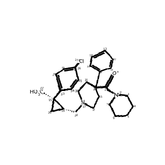 O=C(N1CCCCC1)C1(c2ccccc2)CCN(C[C@@H]2C[C@@]2(C(=O)O)c2ccc(Cl)cc2)CC1